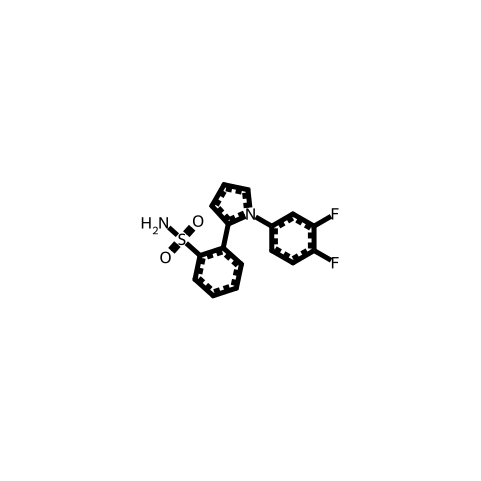 NS(=O)(=O)c1ccccc1-c1cccn1-c1ccc(F)c(F)c1